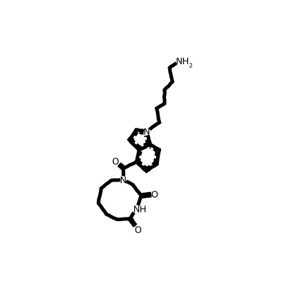 NCCCCCCn1ccc2c(C(=O)N3CCCCCC(=O)NC(=O)C3)cccc21